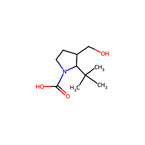 CC(C)(C)C1C(CO)CCN1C(=O)O